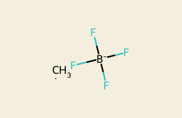 F[B-](F)(F)F.[CH3]